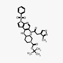 Cc1nocc1CC(=O)Nc1cnc2c(ccn2S(=O)(=O)c2ccccc2)c1NC1CCN(C(=O)OC(C)(C)C)CC1